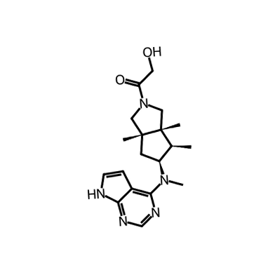 C[C@H]1[C@@H](N(C)c2ncnc3[nH]ccc23)C[C@]2(C)CN(C(=O)CO)C[C@]12C